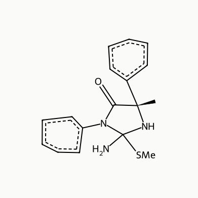 CSC1(N)N[C@@](C)(c2ccccc2)C(=O)N1c1ccccc1